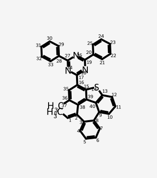 C/C=C1/c2ccccc2-c2cccc3sc4c(-c5nc(-c6ccccc6)nc(-c6ccccc6)n5)cc(C)c1c4c23